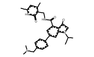 Cc1cc(C)c(CNC(=O)c2cc(-c3ccc(CN(C)C)cc3)cc3c2c(Cl)cn3C(C)C)c(=O)[nH]1